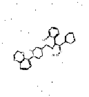 CON=C(C1CCCCC1)C(CCN1CCN(c2cccc3c2OCCO3)CC1)c1ccccc1C#N